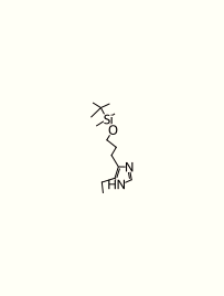 CCc1[nH]cnc1CCCO[Si](C)(C)C(C)(C)C